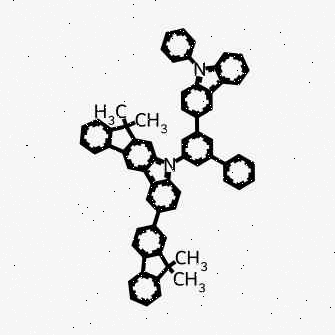 CC1(C)c2ccccc2-c2ccc(-c3ccc4c(c3)c3cc5c(cc3n4-c3cc(-c4ccccc4)cc(-c4ccc6c(c4)c4ccccc4n6-c4ccccc4)c3)C(C)(C)c3ccccc3-5)cc21